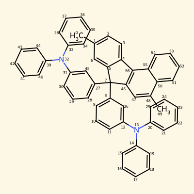 Cc1ccc2c(c1)C(c1cccc(N(c3ccccc3)c3ccccc3)c1)(c1cccc(N(c3ccccc3)c3ccccc3)c1)c1cc(C)c3ccccc3c1-2